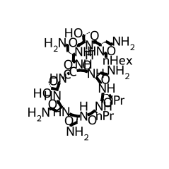 CCCCCCC(=O)N[C@@H](CCN)C(=O)N[C@H](C(=O)N[C@@H](CCN)C(=O)N[C@H]1CCNC(=O)[C@H]([C@@H](C)O)NC(=O)[C@H](CCN)NC(=O)[C@H](CCN)NC(=O)[C@H](CCC)NC(=O)[C@@H](CC(C)C)NC(=O)[C@H](CCN)NC1=O)[C@@H](C)O